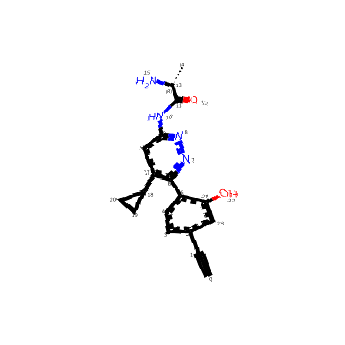 C#Cc1ccc(-c2nnc(NC(=O)[C@@H](C)N)cc2C2CC2)c(O)c1